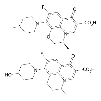 CC1CCc2c(N3CCC(O)CC3)c(F)cc3c(=O)c(C(=O)O)cn1c23.C[C@H]1COc2c(N3CCN(C)CC3)c(F)cc3c(=O)c(C(=O)O)cn1c23